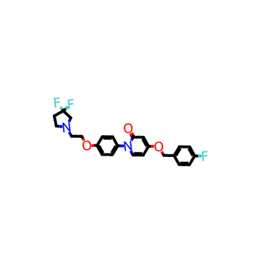 O=c1cc(OCc2ccc(F)cc2)ccn1-c1ccc(OCCN2CCC(F)(F)C2)cc1